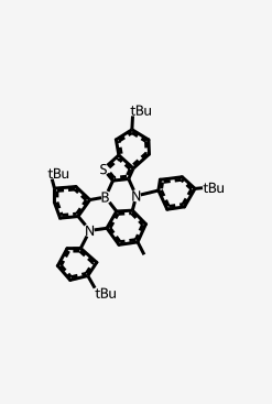 Cc1cc2c3c(c1)N(c1ccc(C(C)(C)C)cc1)c1c(sc4cc(C(C)(C)C)ccc14)B3c1cc(C(C)(C)C)ccc1N2c1cccc(C(C)(C)C)c1